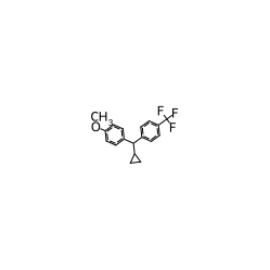 COc1ccc(C(c2ccc(C(F)(F)F)cc2)C2CC2)cc1